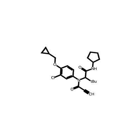 C#CC(=O)N(c1ccc(OCC2CC2)c(Cl)c1)C(C(=O)NC1CCCC1)C(C)(C)C